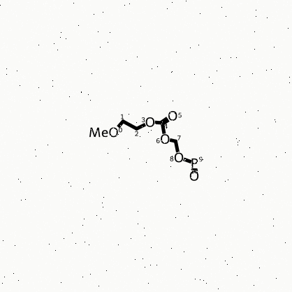 COCCOC(=O)OCOP=O